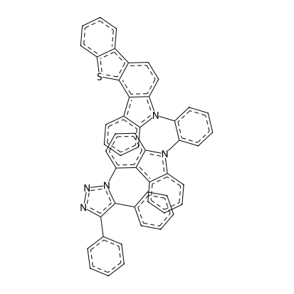 c1ccc(-c2nnn(-c3cccc4c3c3ccccc3n4-c3ccccc3-n3c4ccccc4c4c5sc6ccccc6c5ccc43)c2-c2ccccc2)cc1